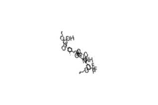 C=CCCOc1cc(C2=NC3(CCN(S(=O)(=O)CCc4ccc(C(=O)N5C[C@H](OCC=C)[C@@H](O)C5)cc4C)CC3)C(=O)N2)cc(C(F)(F)F)c1